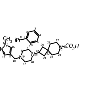 CC(C)c1ccccc1[C@H]1CN(Cc2cnn(C)c2)CCN1C1CC2(CCN(C(=O)O)CC2)C1